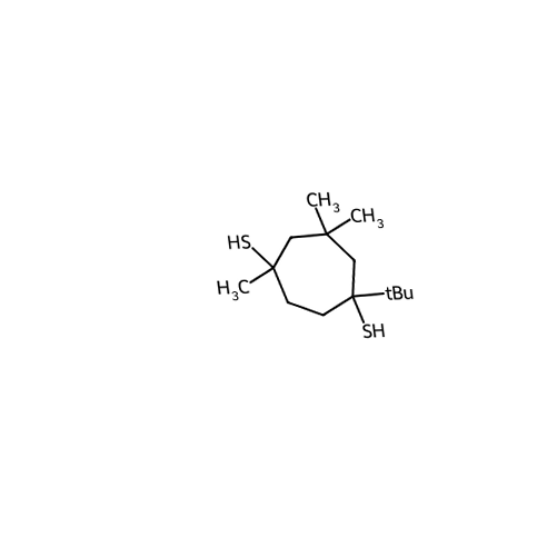 CC1(C)CC(C)(S)CCC(S)(C(C)(C)C)C1